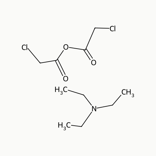 CCN(CC)CC.O=C(CCl)OC(=O)CCl